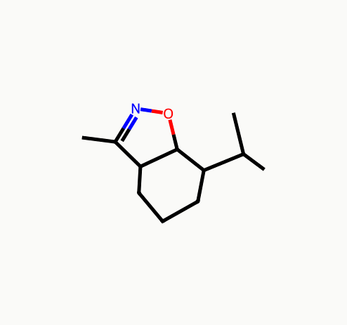 CC1=NOC2C1CCCC2C(C)C